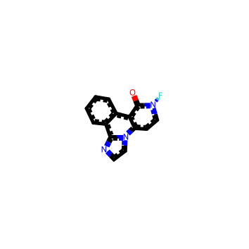 O=c1c2c3ccccc3c3nccn3c2ccn1F